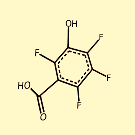 O=C(O)c1c(F)c(O)c(F)c(F)c1F